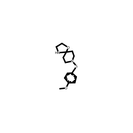 COc1ccc(SN2CCC3(CC2)NCCO3)cc1